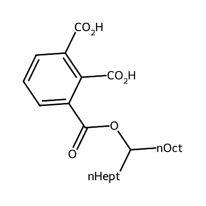 CCCCCCCCC(CCCCCCC)OC(=O)c1cccc(C(=O)O)c1C(=O)O